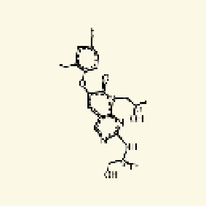 CC[C@@H](CO)Nc1ncc2cc(Oc3ccc(F)cc3F)c(=O)n(C[C@@H](C)O)c2n1